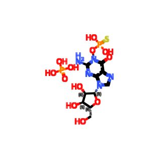 Nc1nc2c(ncn2[C@@H]2O[C@H](CO)[C@@H](O)[C@H]2O)c(=O)n1OP(O)(O)=S.O=P(O)(O)O